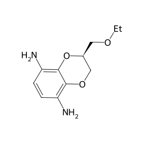 CCOC[C@H]1COc2c(N)ccc(N)c2O1